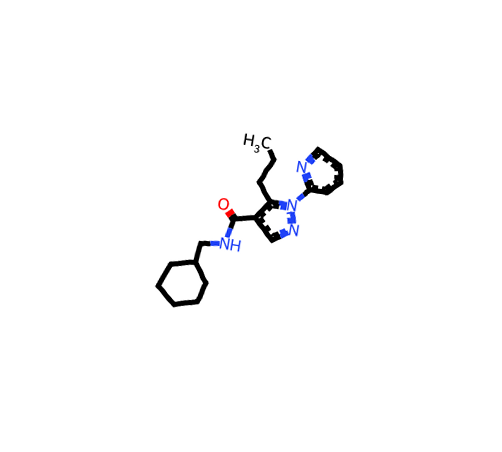 CCCc1c(C(=O)NCC2CCCCC2)cnn1-c1ccccn1